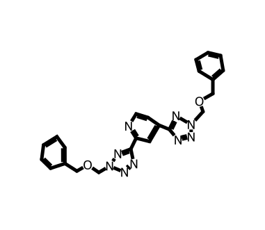 c1ccc(COCn2nnc(-c3ccnc(-c4nnn(COCc5ccccc5)n4)c3)n2)cc1